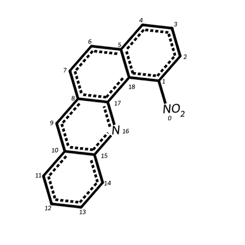 O=[N+]([O-])c1cccc2ccc3cc4ccccc4nc3c12